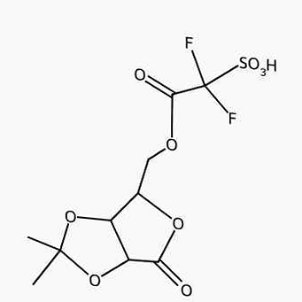 CC1(C)OC2C(=O)OC(COC(=O)C(F)(F)S(=O)(=O)O)C2O1